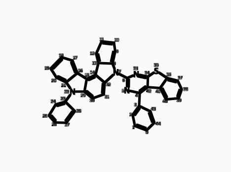 c1ccc(-c2nc(-n3c4ccccc4c4c5c6ccccc6n(-c6ccccc6)c5ccc43)nc3sc4ccccc4c23)cc1